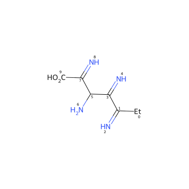 CCC(=N)C(=N)C(N)C(=N)C(=O)O